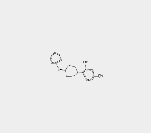 Oc1ccc([C@H]2CC[C@H](Sc3ccccc3)CC2)c(O)c1